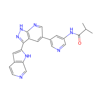 CC(C)C(=O)Nc1cncc(-c2cnc3[nH]nc(-c4cc5ccncc5[nH]4)c3c2)c1